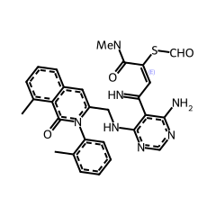 CNC(=O)/C(=C\C(=N)c1c(N)ncnc1NCc1cc2cccc(C)c2c(=O)n1-c1ccccc1C)SC=O